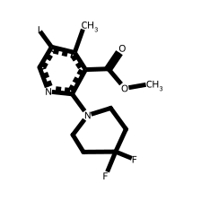 COC(=O)c1c(N2CCC(F)(F)CC2)ncc(I)c1C